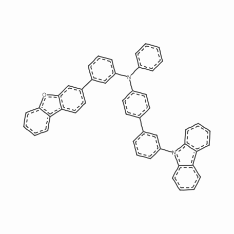 c1ccc(N(c2ccc(-c3cccc(-n4c5ccccc5c5ccccc54)c3)cc2)c2cccc(-c3ccc4c(c3)oc3ccccc34)c2)cc1